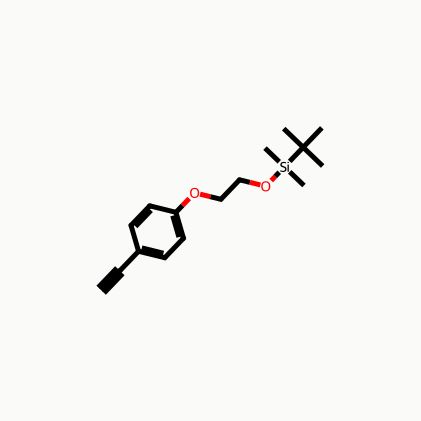 C#Cc1ccc(OCCO[Si](C)(C)C(C)(C)C)cc1